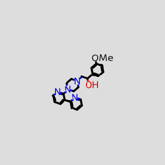 COc1cccc(C(O)CN2CCN(c3ncccc3-c3ccccn3)CC2)c1